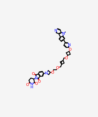 Cn1c2ccncc2c2ccc(-c3ccc(OC4CC(OCC56CC(COCCOC7CN(c8ccc9c(c8)C(=O)N(C8CCC(=O)NC8=O)C9=O)C7)(C5)C6)C4)nc3)cc21